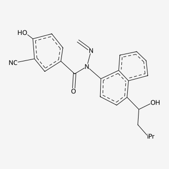 C=NN(C(=O)c1ccc(O)c(C#N)c1)c1ccc(C(O)CC(C)C)c2ccccc12